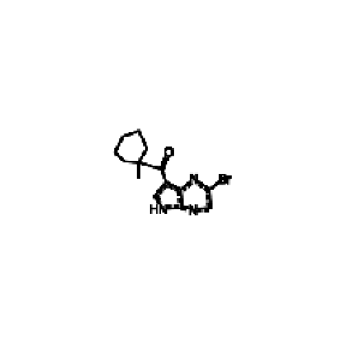 CC1(C(=O)c2c[nH]c3ncc(Br)nc23)CCCCC1